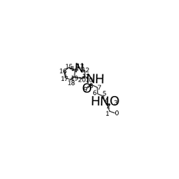 CCC(=O)NCCCC(=O)Nc1cnc2ccccc2c1